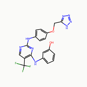 Oc1cccc(Nc2nc(Nc3ccc(OCc4nnn[nH]4)cc3)ncc2C(F)(F)F)c1